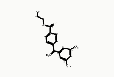 C=C(c1ccc(C(=O)OCCO)cc1)c1cc(C)cc(C(F)(F)F)c1